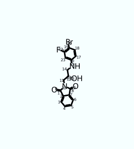 O=C1c2ccccc2C(=O)N1C[C@@H](O)CNc1ccc(Br)c(F)c1